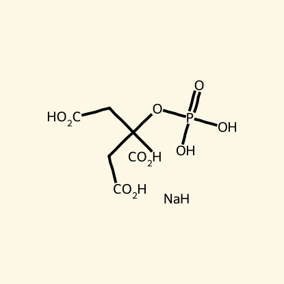 O=C(O)CC(CC(=O)O)(OP(=O)(O)O)C(=O)O.[NaH]